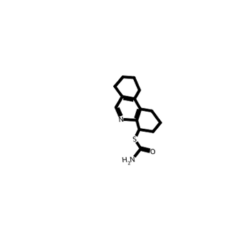 NC(=O)SC1CCCc2c1ncc1c2CCCC1